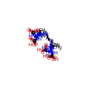 CC(C)(C)c1nn(-c2nc(Nc3cc(OC=O)cc(OC=O)c3)nc(Nc3cc(OC=O)cc(C(=O)O)c3)n2)c(N)c1N=Nc1nnc(CCCCc2nnc(N=Nc3c(C(C)(C)C)nn(-c4nc(Nc5cc(OC=O)cc(C(=O)O)c5)nc(Nc5cc(C(=O)O)cc(C(=O)O)c5)n4)c3N)s2)s1